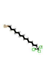 Cl[Si](Cl)(Cl)CCCCCCCCCCCCCBr